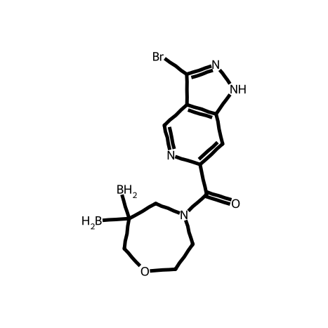 BC1(B)COCCN(C(=O)c2cc3[nH]nc(Br)c3cn2)C1